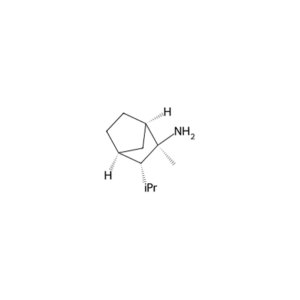 CC(C)[C@@H]1[C@H]2CC[C@H](C2)[C@@]1(C)N